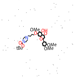 COc1ccc(-c2cc(=O)c3c(O)c(OC)c(OCCCCN4CCN(C(=O)OC(C)(C)C)CC4)cc3o2)cc1OC